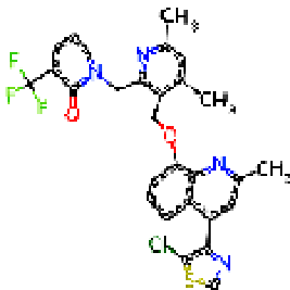 Cc1cc(C)c(COc2cccc3c(-c4ncsc4Cl)cc(C)nc23)c(Cn2cccc(C(F)(F)F)c2=O)n1